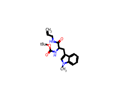 C=CCNC(=O)C(Cc1cn(C)c2ccccc12)NC(=O)OC(C)(C)C